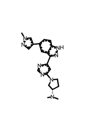 CN(C)[C@H]1CCN(c2cc(-c3n[nH]c4ccc(-c5cnn(C)c5)cc34)ncn2)C1